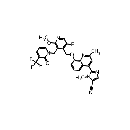 COc1ncc(F)c(COc2cccc3c(-c4ncc(C#N)n4C)cc(C)nc23)c1Cn1cccc(C(F)(F)F)c1=O